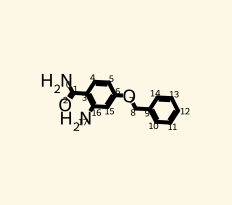 NC(=O)c1ccc(OCc2ccccc2)cc1N